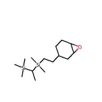 CC([Si](C)(C)C)[Si](C)(C)CCC1CCC2OC2C1